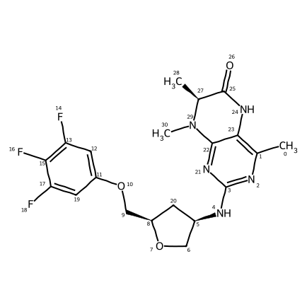 Cc1nc(N[C@H]2CO[C@@H](COc3cc(F)c(F)c(F)c3)C2)nc2c1NC(=O)[C@H](C)N2C